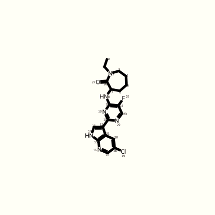 CCN1CCCCC(Nc2nc(-c3c[nH]c4ncc(Cl)cc34)ncc2F)C1=O